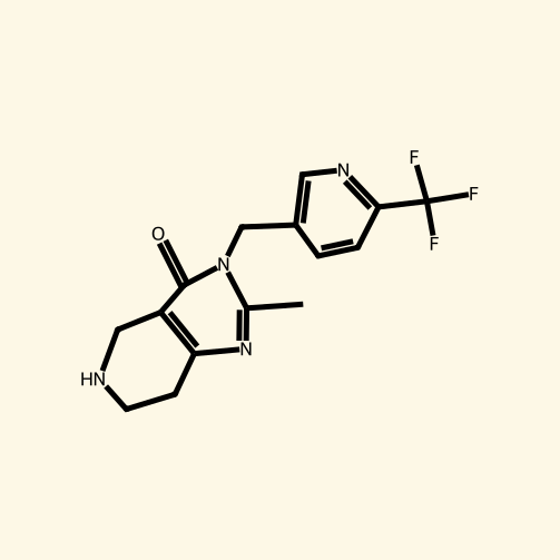 Cc1nc2c(c(=O)n1Cc1ccc(C(F)(F)F)nc1)CNCC2